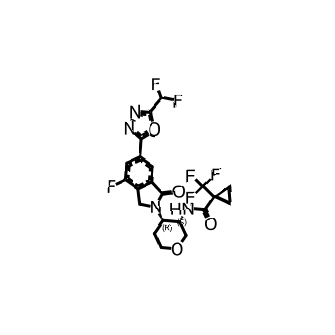 O=C1c2cc(-c3nnc(C(F)F)o3)cc(F)c2CN1[C@@H]1CCOC[C@H]1NC(=O)C1(C(F)(F)F)CC1